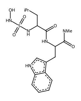 CNC(=O)C(Cc1c[nH]c2ccccc12)NC(=O)C(CC(C)C)NS(=O)(=O)NO